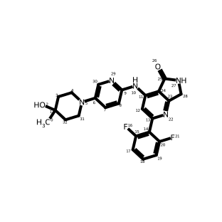 CC1(O)CCN(c2ccc(Nc3cc(-c4c(F)cccc4F)nc4c3C(=O)NC4)nc2)CC1